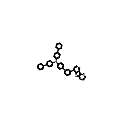 c1ccc(-c2ccc(N(c3ccc(-c4ccccc4)cc3)c3ccc(-c4cccc(-c5cncc6c5oc5cccnc56)c4)cc3)cc2)cc1